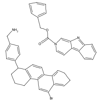 NCc1ccc(C2CCCc3c2ccc2c4c(c(Br)cc32)=CCCC=4)cc1.O=C(OCc1ccccc1)n1ccc2c3ccccc3nc-2c1